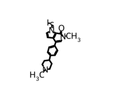 CN1CCC(c2ccc(-c3cn(C)c(=O)c4c3ccn4SI)cc2)CC1